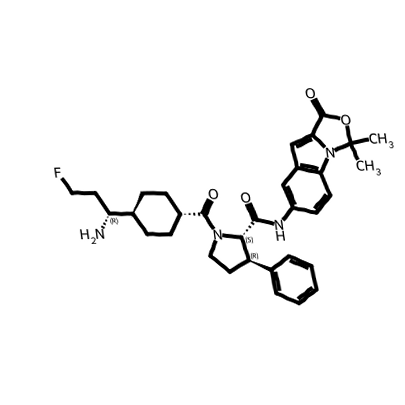 CC1(C)OC(=O)c2cc3cc(NC(=O)[C@@H]4[C@@H](c5ccccc5)CCN4C(=O)[C@H]4CC[C@H]([C@H](N)CCF)CC4)ccc3n21